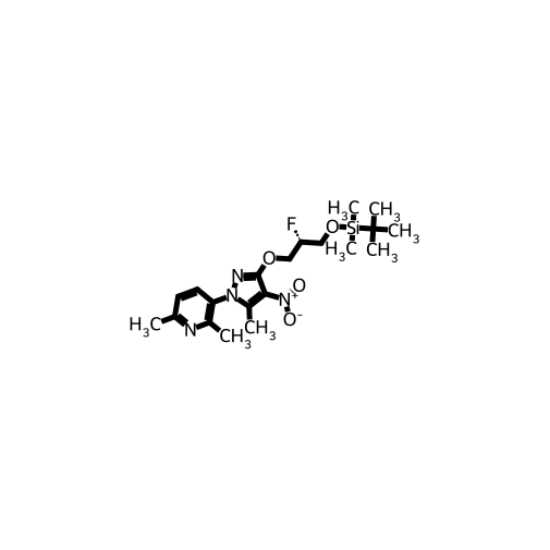 Cc1ccc(-n2nc(OC[C@H](F)CO[Si](C)(C)C(C)(C)C)c([N+](=O)[O-])c2C)c(C)n1